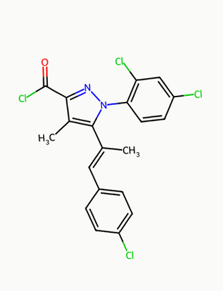 C/C(=C\c1ccc(Cl)cc1)c1c(C)c(C(=O)Cl)nn1-c1ccc(Cl)cc1Cl